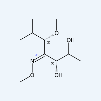 CO/N=C(\[C@@H](O)C(C)O)[C@@H](OC)C(C)C